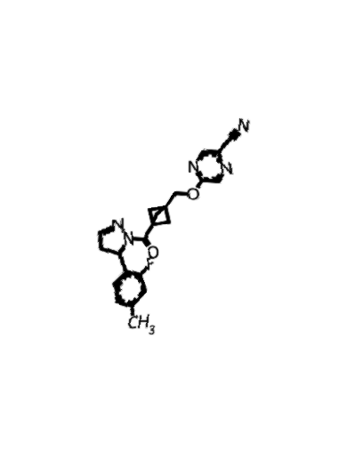 Cc1ccc(C2CC=NN2C(=O)C23CC(COc4cnc(C#N)cn4)(C2)C3)c(F)c1